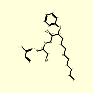 C=CC(=O)O.CCCCCCCCCC(Oc1ccccc1)C(O)COC(C)CO